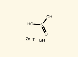 O=[Si](O)O.[LiH].[Ti].[Zn]